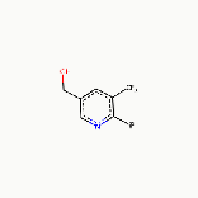 CC(C)c1ncc(CO)cc1C(F)(F)F